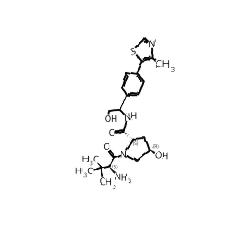 Cc1ncsc1-c1ccc(C(CO)NC(=O)[C@@H]2C[C@@H](O)CN2C(=O)[C@@H](N)C(C)(C)C)cc1